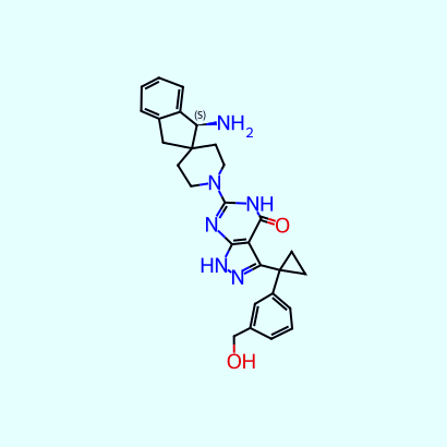 N[C@@H]1c2ccccc2CC12CCN(c1nc3[nH]nc(C4(c5cccc(CO)c5)CC4)c3c(=O)[nH]1)CC2